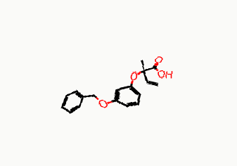 CC[C@](C)(Oc1cccc(OCc2ccccc2)c1)C(=O)O